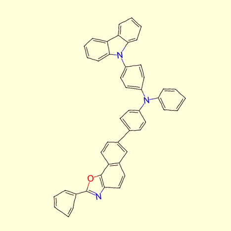 c1ccc(-c2nc3ccc4cc(-c5ccc(N(c6ccccc6)c6ccc(-n7c8ccccc8c8ccccc87)cc6)cc5)ccc4c3o2)cc1